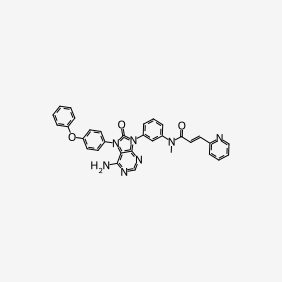 CN(C(=O)C=Cc1ccccn1)c1cccc(-n2c(=O)n(-c3ccc(Oc4ccccc4)cc3)c3c(N)ncnc32)c1